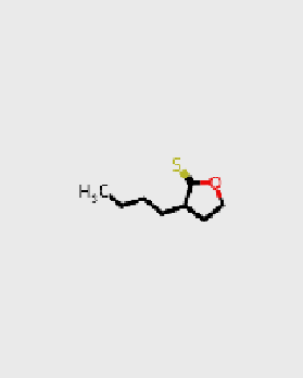 CCCCC1CCOC1=S